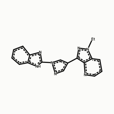 CCn1nc(-c2cnn(-c3nc4ccccc4[nH]3)c2)c2ncccc21